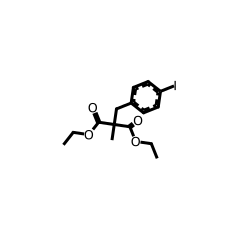 CCOC(=O)C(C)(Cc1ccc(I)cc1)C(=O)OCC